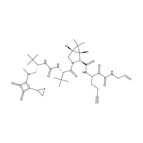 C#CCCC(NC(=O)[C@@H]1[C@@H]2[C@H](CN1C(=O)[C@@H](NC(=O)N[C@H](CN(C)c1c(C3CC3)c(=O)c1=O)C(C)(C)C)C(C)(C)C)C2(C)C)C(=O)C(=O)NCC=C